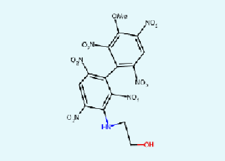 COc1c([N+](=O)[O-])cc([N+](=O)[O-])c(-c2c([N+](=O)[O-])cc([N+](=O)[O-])c(NCCO)c2[N+](=O)[O-])c1[N+](=O)[O-]